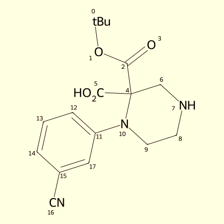 CC(C)(C)OC(=O)C1(C(=O)O)CNCCN1c1cccc(C#N)c1